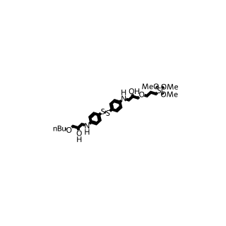 CCCCOCC(O)CNc1ccc(SSc2ccc(NCC(O)COCCC[Si](OC)(OC)OC)cc2)cc1